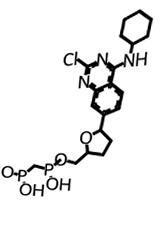 OP(O)CP(O)OCC1CCC(c2ccc3c(NC4CCCCC4)nc(Cl)nc3c2)O1